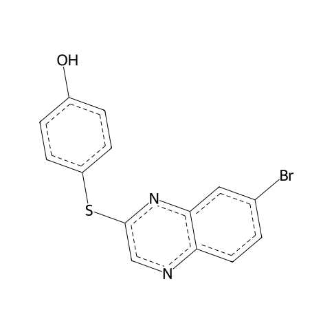 Oc1ccc(Sc2cnc3ccc(Br)cc3n2)cc1